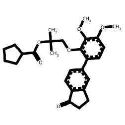 COc1ccc(-c2ccc3c(c2)CCC3=O)c(OCC(C)(C)OC(=O)C2CCCC2)c1OC